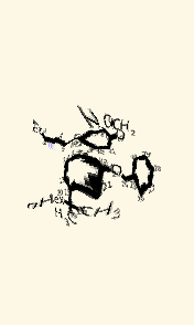 C=C.CC/C=C/C[C@H]1CCC(=O)C[C@@H]1c1ccc(C(C)(C)CCCCCC)cc1OCc1ccccc1